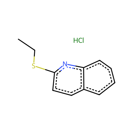 CCSc1ccc2ccccc2n1.Cl